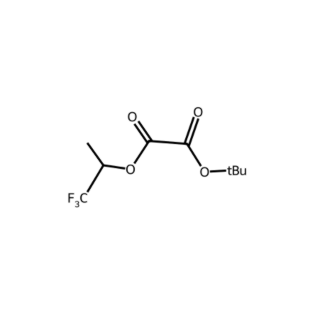 CC(OC(=O)C(=O)OC(C)(C)C)C(F)(F)F